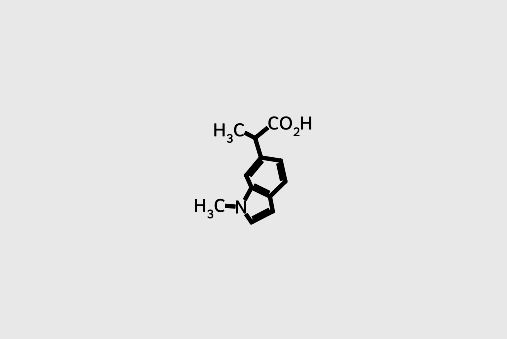 CC(C(=O)O)c1ccc2ccn(C)c2c1